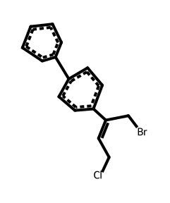 ClCC=C(CBr)c1ccc(-c2ccccc2)cc1